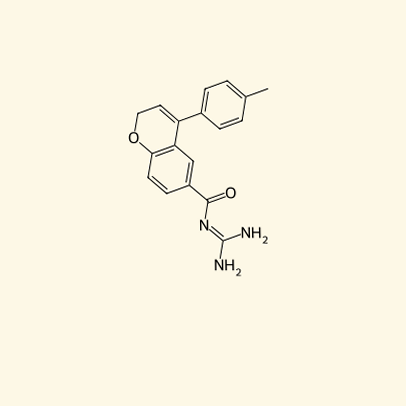 Cc1ccc(C2=CCOc3ccc(C(=O)N=C(N)N)cc32)cc1